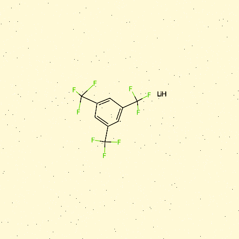 FC(F)(F)c1[c]c(C(F)(F)F)cc(C(F)(F)F)c1.[LiH]